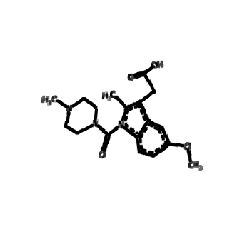 COc1ccc2c(c1)c(CC(=O)O)c(C)n2C(=O)N1CCN(C)CC1